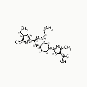 CCCN[C@@H]1CN(c2nc(C)c(C(=O)O)s2)CCC1NC(=O)c1nc(Cl)c(CC)[nH]1